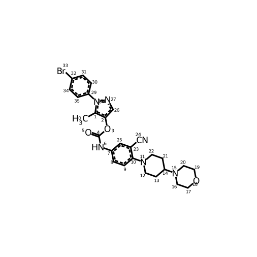 Cc1c(OC(=O)Nc2ccc(N3CCC(N4CCOCC4)CC3)c(C#N)c2)cnn1-c1ccc(Br)cc1